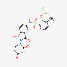 Cc1cccc(S(=O)(=O)Nc2ccc3c(c2)C(=O)N(C2CCC(=O)NC2=O)C3=O)c1OC(F)F